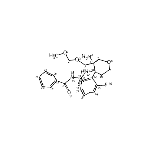 COCOC[C@@]1(N)COCC[C@@]1(NC(=S)NC(=O)c1ccccc1)c1ccccc1F